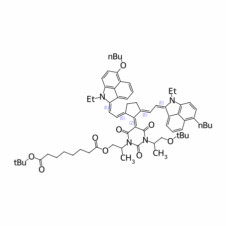 CCCCOc1ccc2c3c1cccc3\c(=C/C=C1\CCC(=C/C=c3\c4cccc5c(CCCC)ccc(c54)n3CC)\C1=C1\C(=O)N(C(C)COC(=O)CCCCCCC(=O)OC(C)(C)C)C(=O)N(C(C)COC(C)(C)C)C1=O)n2CC